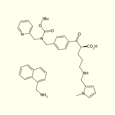 Cn1cccc1CNCCC[C@H](C(=O)O)C(=O)c1ccc(CN(Cc2ccccn2)C(=O)OC(C)(C)C)cc1.NCc1cccc2ccccc12